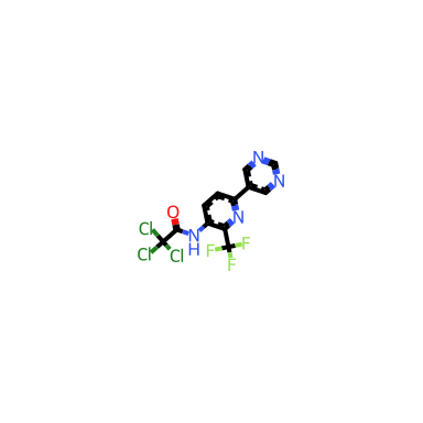 O=C(Nc1ccc(-c2cncnc2)nc1C(F)(F)F)C(Cl)(Cl)Cl